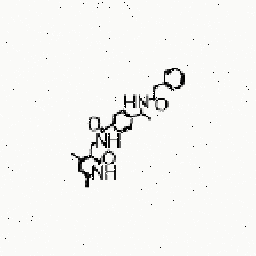 Cc1cc(C)c(CNC(=O)c2ccc(C(C)NC(=O)Cc3ccccc3)cc2)c(=O)[nH]1